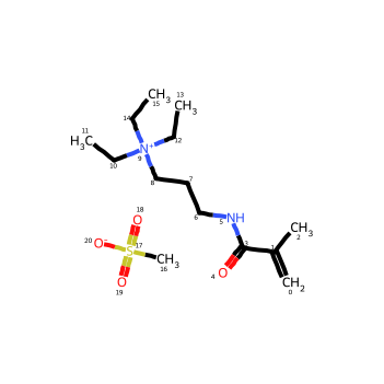 C=C(C)C(=O)NCCC[N+](CC)(CC)CC.CS(=O)(=O)[O-]